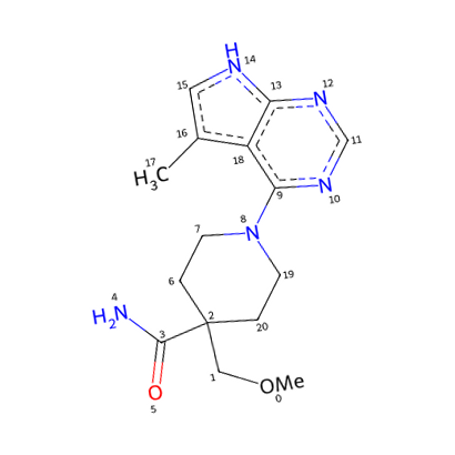 COCC1(C(N)=O)CCN(c2ncnc3[nH]cc(C)c23)CC1